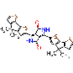 CC1(C)c2ccsc2-c2sc(C3=C4C(=O)NC(c5cc6c(s5)-c5sccc5C6(C)C)=C4C(=O)N3)cc21